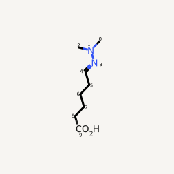 CN(C)N=CCCCCC(=O)O